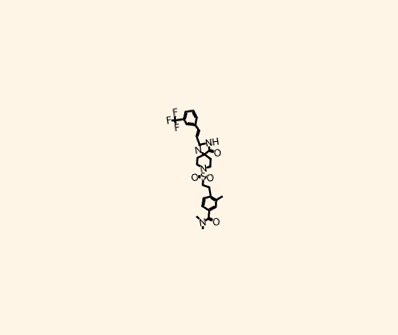 Cc1cc(C(=O)N(C)C)ccc1CCS(=O)(=O)N1CCC2(CC1)N=C(C=Cc1cccc(C(F)(F)F)c1)NC2=O